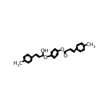 Cc1ccc(/C=C/C(=O)Oc2ccc(OC(O)/C=C/c3ccc(C)cc3)cc2)cc1